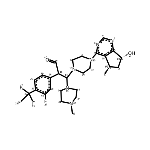 C[C@@H]1C[C@@H](O)c2ncnc(N3CCN(C(C(C=O)c4ccc(C(F)(F)F)c(F)c4)N4CCN(C)CC4)CC3)c21